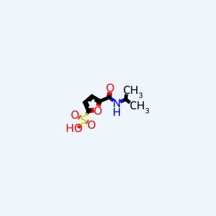 CC(C)NC(=O)c1ccc(S(=O)(=O)O)o1